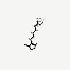 O=C1CCC=C1CCCCCC(F)C(=O)O